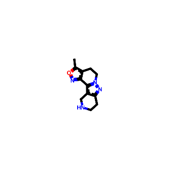 Cc1onc2c1CCn1nc3c(c1-2)CNCC3